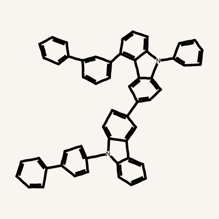 c1ccc(-c2ccc(-n3c4ccccc4c4cc(-c5ccc6c(c5)c5c(-c7cccc(-c8ccccc8)c7)cccc5n6-c5ccccc5)ccc43)cc2)cc1